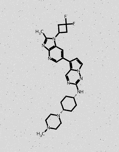 Cc1nc2ncc(-c3ccn4nc(N[C@H]5CC[C@@H](N6CCN(C)CC6)CC5)ncc34)cc2n1C1CC(F)(F)C1